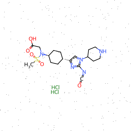 CS(=O)(=O)N(CC(=O)O)[C@H]1CC[C@H](c2cn(C3CCNCC3)c(N=C=O)n2)CC1.Cl.Cl